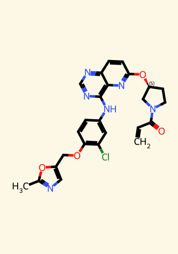 C=CC(=O)N1CC[C@H](Oc2ccc3ncnc(Nc4ccc(OCc5cnc(C)o5)c(Cl)c4)c3n2)C1